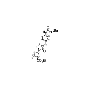 CCOC(=O)c1sc(N2CCN(Cc3ccc(NC(=O)OC(C)(C)C)cc3)C2=O)cc1C